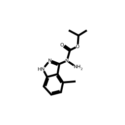 Cc1cccc2[nH]nc(N(N)C(=O)OC(C)C)c12